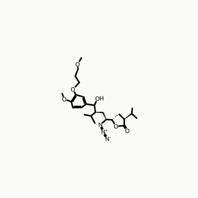 COCCCOc1cc(C(O)[C@@H](C[C@H](N=[N+]=[N-])[C@@H]2C[C@@H](C(C)C)C(=O)O2)C(C)C)ccc1OC